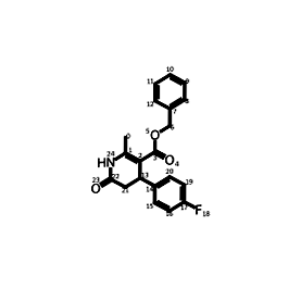 CC1=C(C(=O)OCc2ccccc2)C(c2ccc(F)cc2)CC(=O)N1